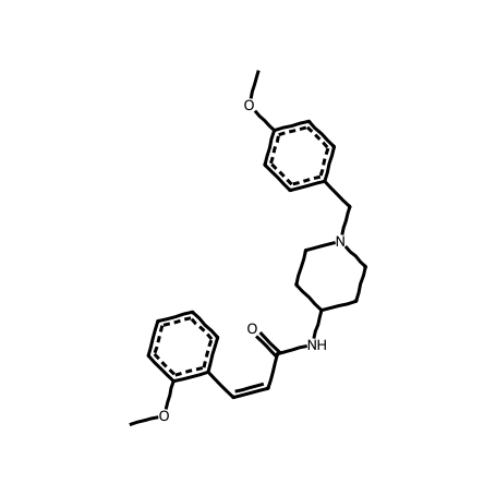 COc1ccc(CN2CCC(NC(=O)/C=C\c3ccccc3OC)CC2)cc1